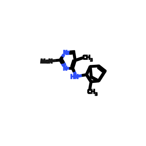 CNc1ncc(C)c(NC2C3C=CC(C3)C2C)n1